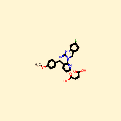 COc1ccc(Cc2cccnc2N(Cc2ccc(F)cc2)C(=N)N)cc1.O=C(O)/C=C\C(=O)O